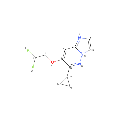 FC(F)COc1cc2nccn2nc1C1CC1